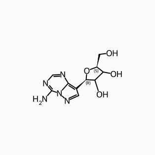 Nc1ncnc2c([C@H]3O[C@@H](CO)C(O)C3O)cnn12